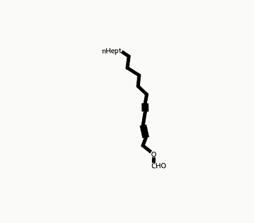 CCCCCCCCCCCCC#CC#CCOC=O